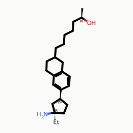 CC[C@@]1(N)CC[C@H](c2ccc3c(c2)CCC(CCCCC[C@@H](C)O)C3)C1